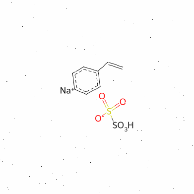 C=Cc1ccccc1.O=S(=O)([O-])S(=O)(=O)O.[Na+]